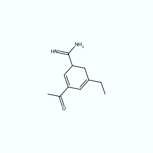 CCC1=CC(C(C)=O)=CC(C(=N)N)C1